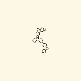 C1=NCC2C(=C1)Oc1ccc(-n3c4ccccc4c4cc(-c5ccc6oc7ccccc7c6c5)ccc43)cc12